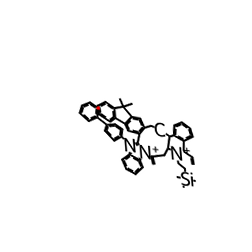 C=CC1=[N+](CC[Si](C)(C)C)C2CC(=C)[n+]3c(n(-c4ccc(-c5ccccc5)cc4)c4ccccc43)-c3cc4c(cc3CCC2c2ccccc21)C(C)(C)c1ccccc1-4